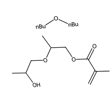 C=C(C)C(=O)OCC(C)OCC(C)O.CCCCOCCCC